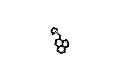 [CH](C1C=Cc2cccc3cccc1c23)n1cccc1